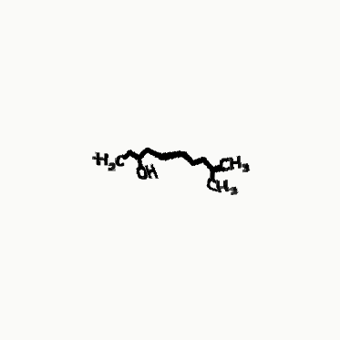 [CH2]CC(O)CCCCCC(C)C